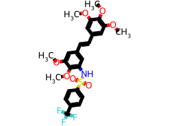 COc1cc(C=Cc2cc(OC)c(OC)c(OC)c2)cc(NS(=O)(=O)c2ccc(C(F)(F)F)cc2)c1OC